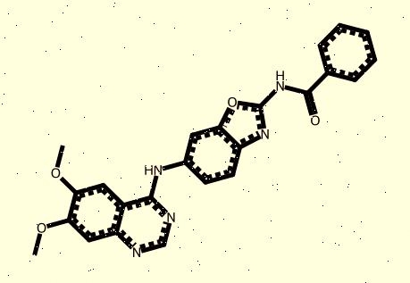 COc1cc2ncnc(Nc3ccc4nc(NC(=O)c5ccccc5)oc4c3)c2cc1OC